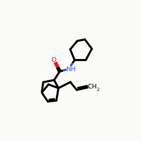 C=CCC12C=CC(CC1C(=O)NC1CCCCC1)C2